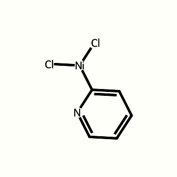 [Cl][Ni]([Cl])[c]1ccccn1